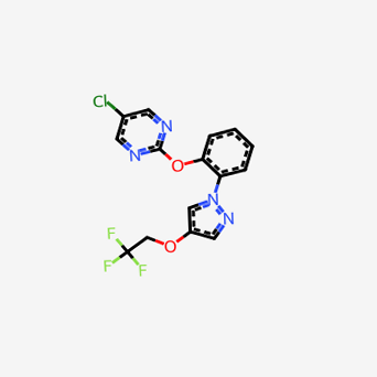 FC(F)(F)COc1cnn(-c2ccccc2Oc2ncc(Cl)cn2)c1